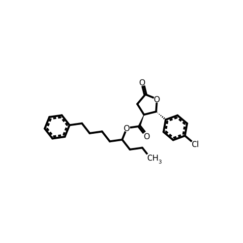 CCCC(CCCCc1ccccc1)OC(=O)[C@H]1CC(=O)O[C@@H]1c1ccc(Cl)cc1